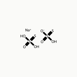 O=S(O)(O)=S.O=S([O-])(O)=S.[Na+]